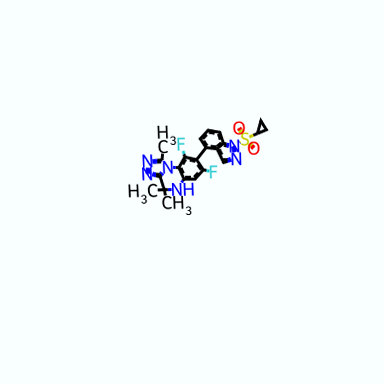 Cc1nnc2n1-c1c(cc(F)c(-c3cccc4c3cnn4S(=O)(=O)C3CC3)c1F)NC2(C)C